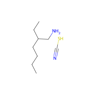 CCCCC(CC)CN.N#CS